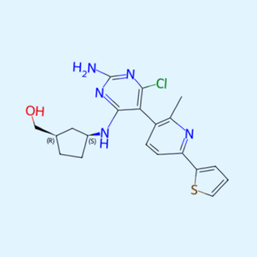 Cc1nc(-c2cccs2)ccc1-c1c(Cl)nc(N)nc1N[C@H]1CC[C@@H](CO)C1